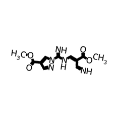 COC(=O)/C(C=N)=C/NC(=N)n1cc(C(=O)OC)cn1